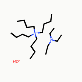 CCCC[N+](CCCC)(CCCC)CCCC.CCN(CC)CC.[OH-]